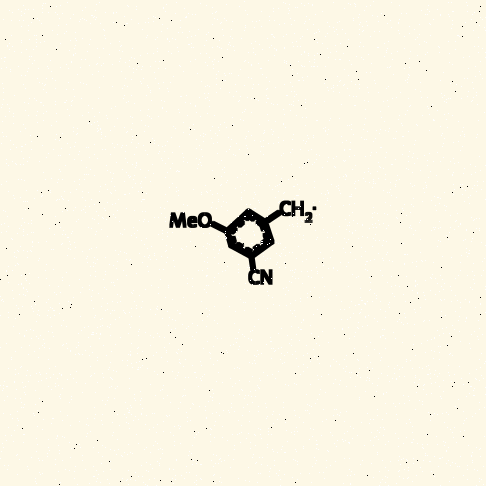 [CH2]c1cc(C#N)cc(OC)c1